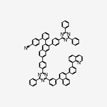 N#Cc1ccc(-c2ccccc2-c2cc3ccc(-c4ccc(-c5nc(-c6ccccc6)nc(-c6cccc(-c7ccc(-c8cccc(-c9cccc%10cccnc9%10)c8)c8ccccc78)c6)n5)cc4)cc3cc2-c2ccc(-c3nc(-c4ccccc4)nc(-c4ccccc4)n3)cc2)cc1